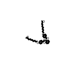 O=C(Oc1ccccc1OC(=O)c1ccc(OCCCCCCCCC2CO2)cc1)c1ccc(OCCCCCCCCC2CO2)cc1